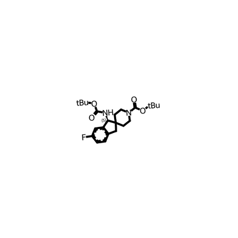 CC(C)(C)OC(=O)N[C@@H]1c2cc(F)ccc2CC12CCN(C(=O)OC(C)(C)C)CC2